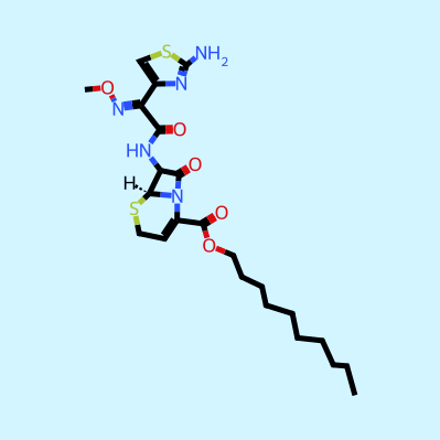 CCCCCCCCCCOC(=O)C1=CCS[C@H]2C(NC(=O)C(=NOC)c3csc(N)n3)C(=O)N12